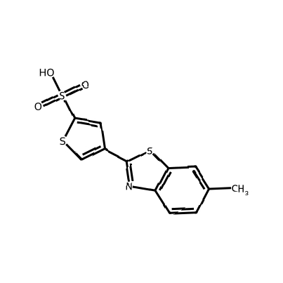 Cc1ccc2nc(-c3csc(S(=O)(=O)O)c3)sc2c1